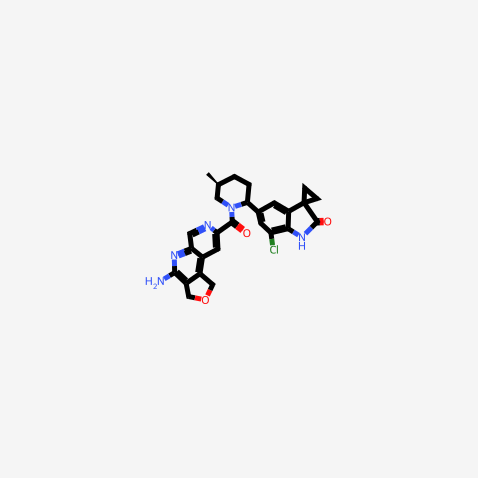 C[C@H]1CCC(c2cc(Cl)c3c(c2)C2(CC2)C(=O)N3)N(C(=O)c2cc3c4c(c(N)nc3cn2)COC4)C1